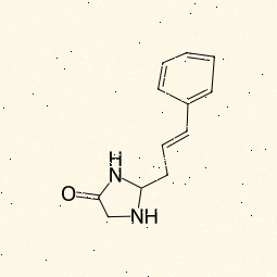 O=C1CNC(CC=Cc2ccccc2)N1